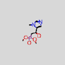 COP(=O)(CC(=O)c1cncn1C)OC